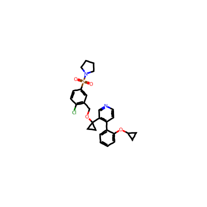 O=S(=O)(c1ccc(Cl)c(COC2(c3cnccc3-c3ccccc3OC3CC3)CC2)c1)N1CCCC1